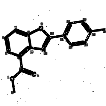 COC(=O)c1cccc2oc(-c3ccc(C)cc3)nc12